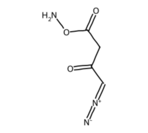 [N-]=[N+]=CC(=O)CC(=O)ON